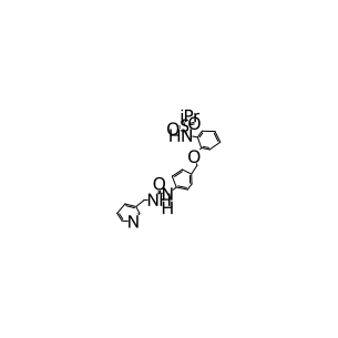 CC(C)S(=O)(=O)Nc1ccccc1OCc1ccc(NC(=O)NCc2cccnc2)cc1